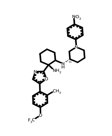 Cc1cc(OC(F)(F)F)ccc1-c1cnc(C2(N)CCCCC2N[C@H]2CCCN(c3ccc([N+](=O)[O-])cc3)C2)o1